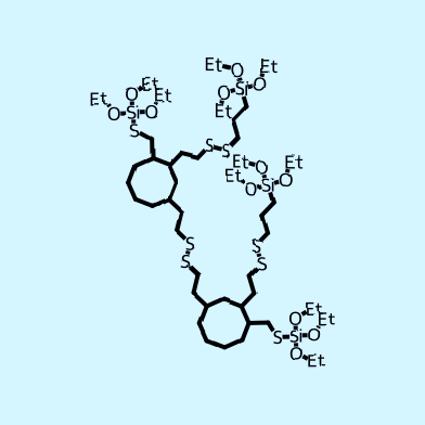 CCO[Si](CCCSSCCC1CC(CCSSCCC2CCCCC(CS[Si](OCC)(OCC)OCC)C(CCSSCCC[Si](OCC)(OCC)OCC)C2)CCCCC1CS[Si](OCC)(OCC)OCC)(OCC)OCC